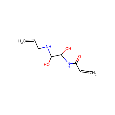 C=CCNC(O)C(O)NC(=O)C=C